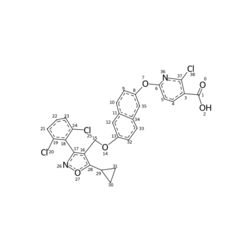 O=C(O)c1ccc(Oc2ccc3cc(OCc4c(-c5c(Cl)cccc5Cl)noc4C4CC4)ccc3c2)nc1Cl